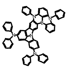 c1ccc(N(c2ccccc2)c2ccc3c(c2)c2cc(N(c4ccccc4)c4ccccc4)cc4c5cc6c(cc5n3c24)B2c3ccccc3N(c3ccccc3)c3cccc(c32)N6c2ccccc2)cc1